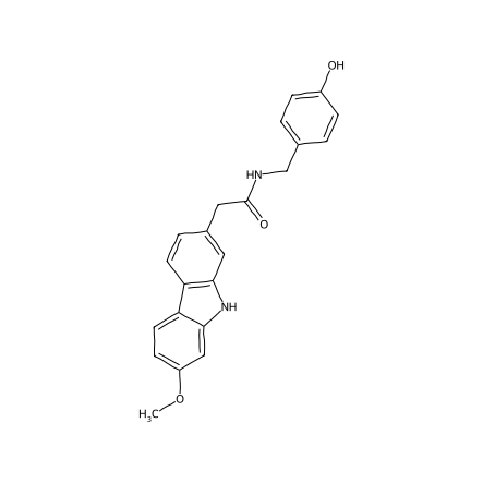 COc1ccc2c(c1)[nH]c1cc(CC(=O)NCc3ccc(O)cc3)ccc12